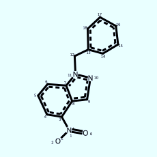 O=[N+]([O-])c1cccc2c1cnn2Cc1ccccc1